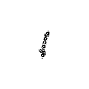 Cc1cc(N2CCN(c3ccc(C(=O)Nc4ccc(F)cc4F)cc3)CC2)ccc1OC[C@@H]1CO[C@@](Cn2cncn2)(c2ccc(F)cc2F)C1